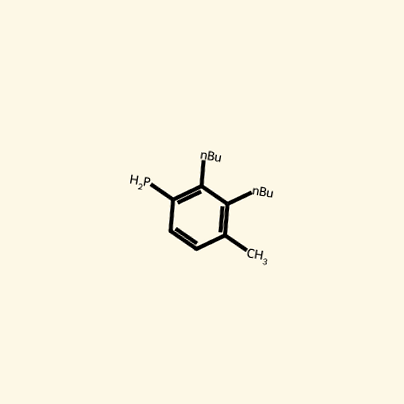 CCCCc1c(C)ccc(P)c1CCCC